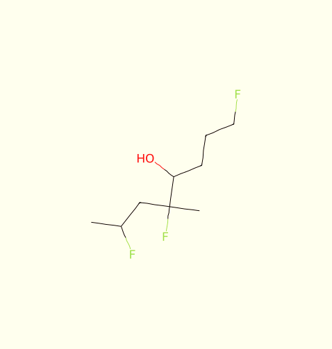 CC(F)CC(C)(F)C(O)CCCF